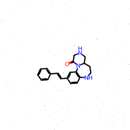 O=C1CNCC2CCNc3ccc(C=Cc4ccccc4)cc3N12